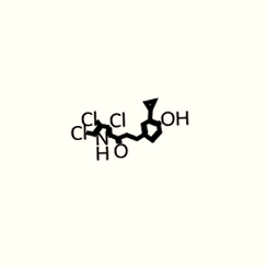 O=C(CCc1ccc(O)c(C2CC2)c1)c1[nH]c(Cl)c(Cl)c1Cl